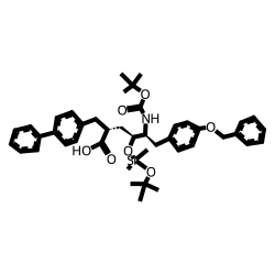 CC(C)(C)OC(=O)N[C@@H](Cc1ccc(OCc2ccccc2)cc1)[C@H](C[C@@H](Cc1ccc(-c2ccccc2)cc1)C(=O)O)O[Si](C)(C)OC(C)(C)C